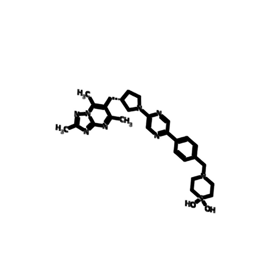 Cc1nc2nc(C)c(C[C@@H]3CCN(c4cnc(-c5ccc(CN6CCS(O)(O)CC6)cc5)cn4)C3)c(C)n2n1